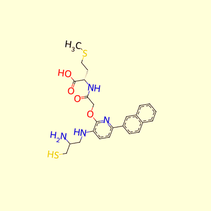 CSCC[C@H](NC(=O)COc1nc(-c2ccc3ccccc3c2)ccc1NCC(N)CS)C(=O)O